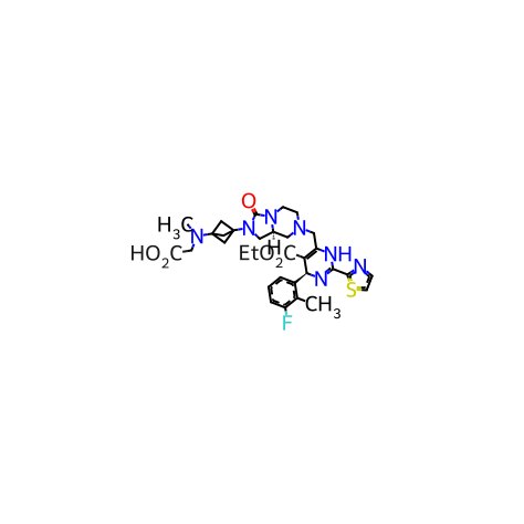 CCOC(=O)C1=C(CN2CCN3C(=O)N(C45CC(N(C)CC(=O)O)(C4)C5)C[C@@H]3C2)NC(c2nccs2)=N[C@H]1c1cccc(F)c1C